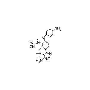 CN(CC(C)(C)C#N)c1c(OC2CCC(N)CC2)ccc2c1CC(C)(C)c1c(N)ncnc1-2